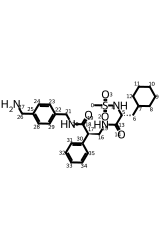 CS(=O)(=O)N[C@H](CC1CCCCC1)C(=O)NC[C@H](C(=O)NCc1ccc(CN)cc1)c1ccccc1